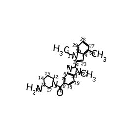 CCn1c(-c2nc3cc(C(=O)N4CCCC(N)C4)ccc3n2C)cc2c(C)cccc21